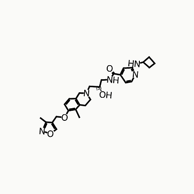 Cc1nocc1COc1ccc2c(c1C)CCN(C[C@@H](O)CNC(=O)c1ccnc(NC3CCC3)c1)C2